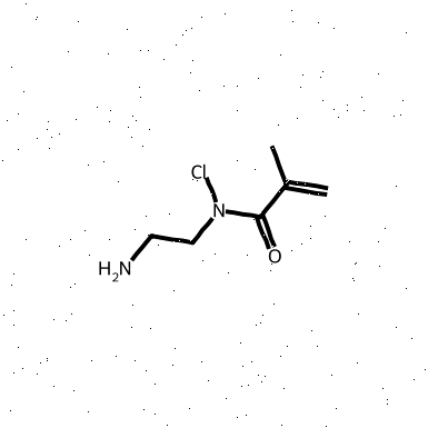 C=C(C)C(=O)N(Cl)CCN